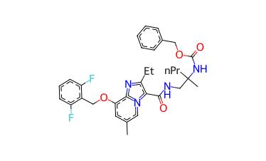 CCCC(C)(CNC(=O)c1c(CC)nc2c(OCc3c(F)cccc3F)cc(C)cn12)NC(=O)OCc1ccccc1